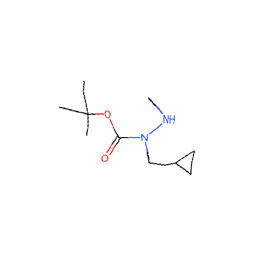 CNN(CC1CC1)C(=O)OC(C)(C)C